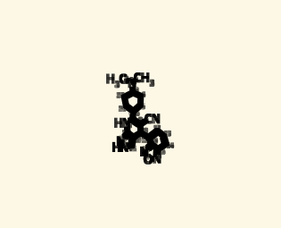 CN(C)C1CCC(C2=C(C#N)C(c3cccc4nonc34)c3c[nH]nc3N2)CC1